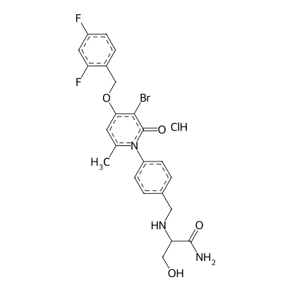 Cc1cc(OCc2ccc(F)cc2F)c(Br)c(=O)n1-c1ccc(CNC(CO)C(N)=O)cc1.Cl